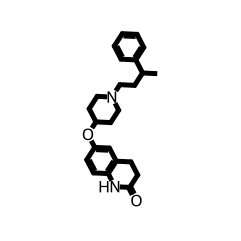 CC(CCN1CCC(Oc2ccc3c(c2)CCC(=O)N3)CC1)c1ccccc1